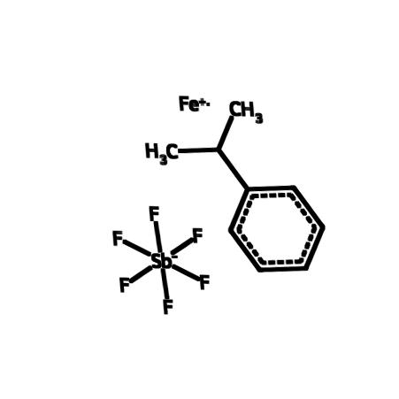 CC(C)c1ccccc1.[F][Sb-]([F])([F])([F])([F])[F].[Fe+]